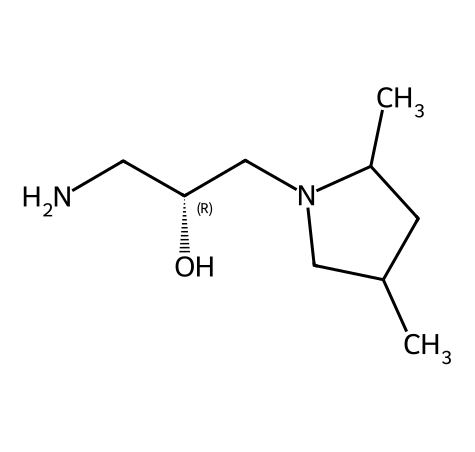 CC1CC(C)N(C[C@H](O)CN)C1